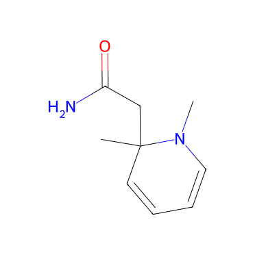 CN1C=CC=CC1(C)CC(N)=O